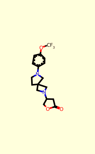 O=C1CC(N2CC3(CCN(c4ccc(OC(F)(F)F)cc4)C3)C2)CO1